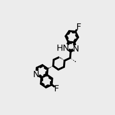 C[C@@H](c1nc2cc(F)ccc2[nH]1)[C@H]1CC[C@@H](c2ccnc3ccc(F)cc32)CC1